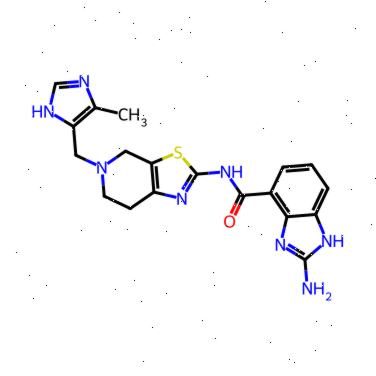 Cc1nc[nH]c1CN1CCc2nc(NC(=O)c3cccc4[nH]c(N)nc34)sc2C1